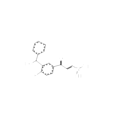 CN(C)/C=C/C(=O)c1ccc(F)c(C(O)c2ccccc2)c1